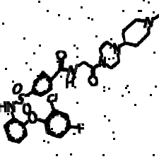 CN1CCC(N2CCN(C(=O)CNC(=O)c3ccc(S(=O)(=O)Nc4ccccc4Oc4ccc(F)cc4Cl)cc3)CC2)CC1